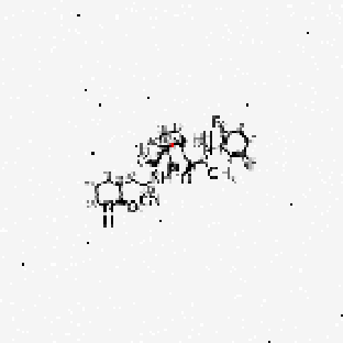 C[C@H](Nc1cc(F)ccc1F)C(=O)N1[C@@H]2CC[C@H]([C@H]1C(=O)N[C@H](C#N)C[C@@H]1CCCNC1=O)C(F)(F)C2